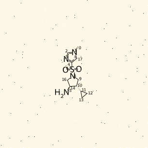 Cn1cnc(S(=O)(=O)N2C[C@H](C3CC3)[C@@H](N)C2)c1